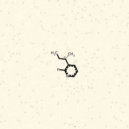 CC[C@H](C)c1cccnc1F